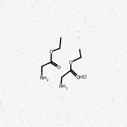 CCOC(=O)CN.CCOC(=O)CN.Cl